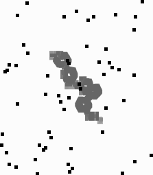 Nc1cccc(-c2cccc3cnc(Nc4ccc(N5CCNCC5)nc4)nc23)c1